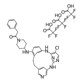 O=C(Cc1ccccc1)N1CCC(Nc2ccc3cc2CCc2cncc(c2)Nc2ncc(Cl)c(n2)N3)CC1.O=C(O)C(F)(F)F.O=C(O)C(F)(F)F.O=C(O)C(F)(F)F